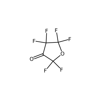 O=C1C(F)(F)OC(F)(F)C1(F)F